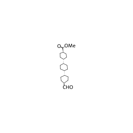 COC(=O)[C@H]1CC[C@H](C2CCC([C@H]3CC[C@H](C=O)CC3)CC2)CC1